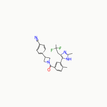 Cc1nc(CC(C)(F)F)c(-c2cc(C(=O)N3CC(c4ccc(C#N)cc4)C3)ccc2C)[nH]1